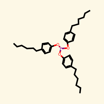 CCCCCCc1ccc(OP(Oc2ccc(CCCCCC)cc2)Oc2ccc(CCCCCC)cc2)cc1